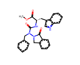 COC(=O)[C@H](Cc1c[nH]c2ccccc12)NC(=O)N(Cc1ccccc1)N1Cc2ccccc2C1=O